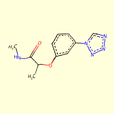 CNC(=O)C(C)Oc1cccc(-n2cnnn2)c1